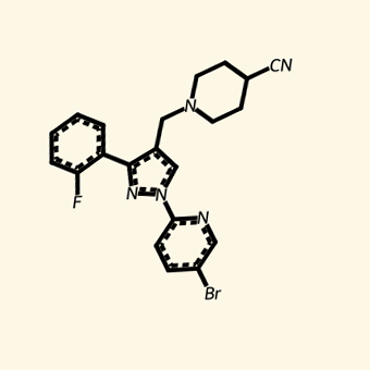 N#CC1CCN(Cc2cn(-c3ccc(Br)cn3)nc2-c2ccccc2F)CC1